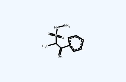 CC(C(=[Se])c1ccccc1)S(=O)(=O)NN